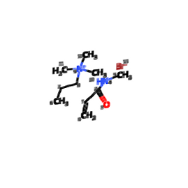 C=CC(=O)NC.CCC[N+](C)(C)C.[Br-]